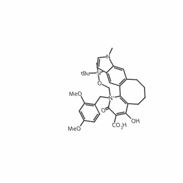 COc1ccc(C[N+]2(CO[Si](C)(C)C(C)(C)C)C(=O)C(C(=O)O)=C(O)C3=C2c2cc4ccn(C)c4cc2CCCC3)c(OC)c1